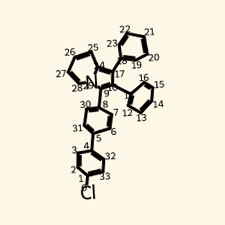 Clc1ccc(-c2ccc(-c3c(-c4ccccc4)c(-c4ccccc4)c4ccccn34)cc2)cc1